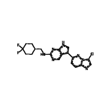 FC1(F)CCC(CNc2ncc3c(-c4ccc5ncc(Cl)n5n4)c[nH]c3n2)CC1